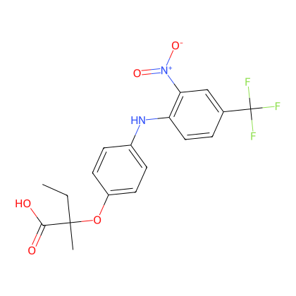 CCC(C)(Oc1ccc(Nc2ccc(C(F)(F)F)cc2[N+](=O)[O-])cc1)C(=O)O